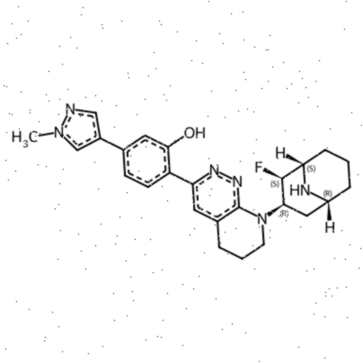 Cn1cc(-c2ccc(-c3cc4c(nn3)N([C@@H]3C[C@H]5CCC[C@H](N5)[C@@H]3F)CCC4)c(O)c2)cn1